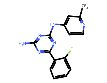 Nc1nc(Nc2ccnc(C(F)(F)F)c2)nc(-c2ccccc2F)n1